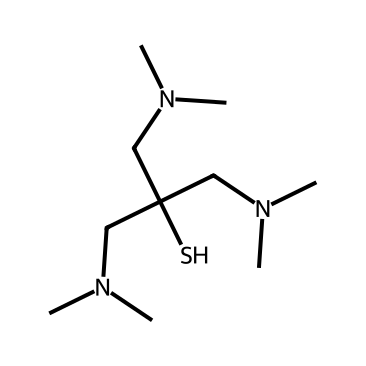 CN(C)CC(S)(CN(C)C)CN(C)C